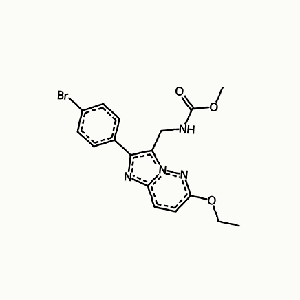 CCOc1ccc2nc(-c3ccc(Br)cc3)c(CNC(=O)OC)n2n1